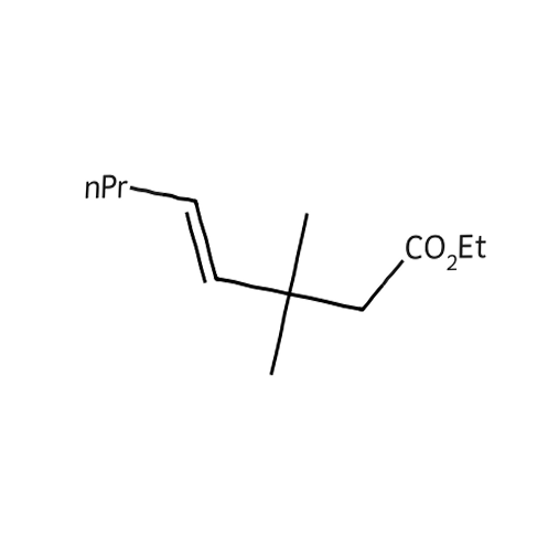 CCC/C=C/C(C)(C)CC(=O)OCC